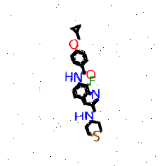 O=C(Nc1ccc2cc(CNC3CCSCC3)cnc2c1F)c1ccc(OCC2CC2)cc1